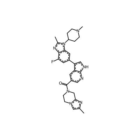 Cc1cn2c(n1)CN(C(=O)c1cnc3[nH]cc(-c4cc(F)c5nc(C)n(C6CCN(C)CC6)c5c4)c3c1)CC2